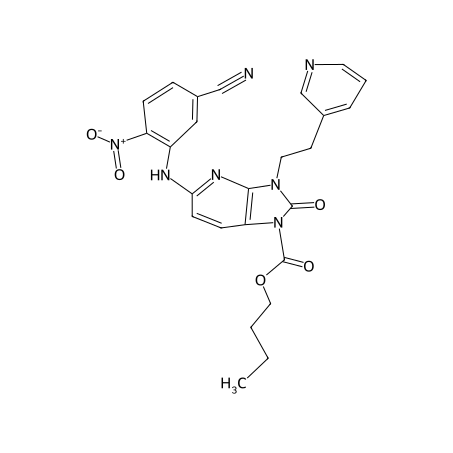 CCCCOC(=O)n1c(=O)n(CCc2cccnc2)c2nc(Nc3cc(C#N)ccc3[N+](=O)[O-])ccc21